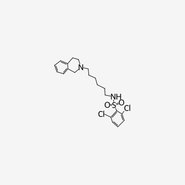 O=S(=O)(NCCCCCCN1CCc2ccccc2C1)c1c(Cl)cccc1Cl